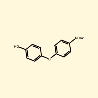 CC(=O)Nc1ccc(Oc2ccc(O)cc2)cc1